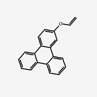 C=COc1ccc2c3ccccc3c3ccccc3c2c1